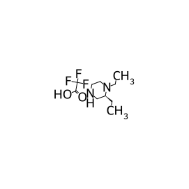 CC[C@H]1CNCCN1CC.O=C(O)C(F)(F)F